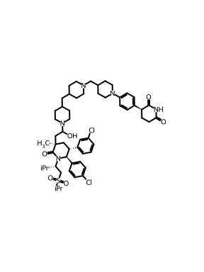 CC(C)[C@@H](CS(=O)(=O)C(C)C)N1C(=O)[C@@](C)(CC(O)N2CCC(CC3CCN(CC4CCN(c5ccc([C@@H]6CCC(=O)NC6=O)cc5)CC4)CC3)CC2)C[C@H](c2cccc(Cl)c2)[C@H]1c1ccc(Cl)cc1